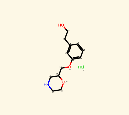 Cl.OCCc1cccc(OCC2CNCCO2)c1